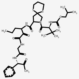 CCCC(NC(=O)C1CC2(CN1C(=O)[C@@H](NC(=O)OCC(C)C)C(C)(C)C)SCCCS2)C(=O)C(=O)NCC(=O)N[C@H](C(C)=O)c1ccccc1